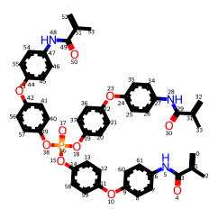 C=C(C)C(=O)Nc1ccc(Oc2ccc(OP(=O)(Oc3ccc(Oc4ccc(NC(=O)C(=C)C)cc4)cc3)Oc3ccc(Oc4ccc(NC(=O)C(=C)C)cc4)cc3)cc2)cc1